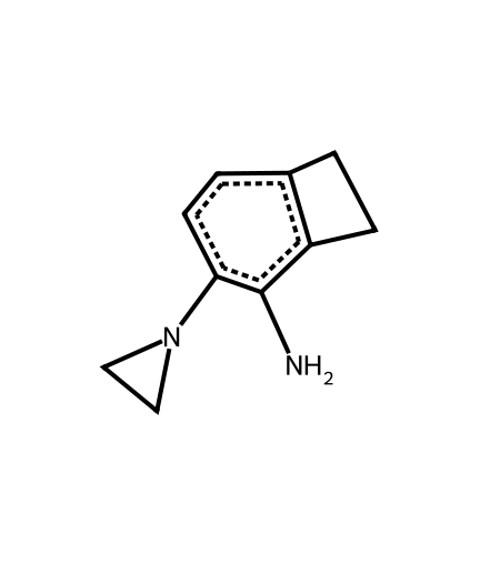 Nc1c(N2CC2)ccc2c1CC2